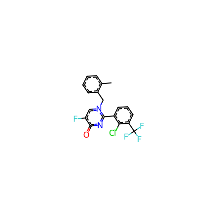 Cc1ccccc1Cn1cc(F)c(=O)nc1-c1cccc(C(F)(F)F)c1Cl